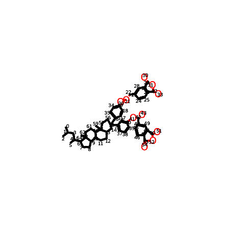 CC(C)CC(C)C1CCC2C3CCC4CC(c5ccc(OOCc6ccc7c(c6)C(=O)OC7=O)cc5)(c5cccc(OC(=O)c6ccc7c(c6)C(=O)OC7=O)c5)CCC4(C)C3CCC12C